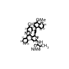 CNC(C)C(=O)Nc1ccc(-c2c(-c3ccncc3)nc3cc(C)ccn23)c(C#Cc2ccc(OC)c3ncccc23)n1